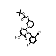 CC(C)(C)OC(=O)/N=C1/CCCN(c2ncc(O)c(=O)n2Cc2cc(F)ccc2C#N)C1